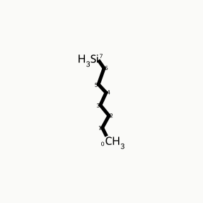 CCCCCCC[SiH3]